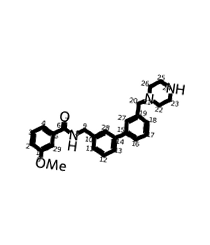 COc1cccc(C(=O)NCc2cccc(-c3cccc(CN4CCNCC4)c3)c2)c1